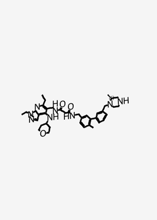 CCc1nc2c(cnn2CC)c(NC2CCOCC2)c1CNC(=O)CC(=O)NCc1ccc(C)c(-c2cccc(CN3CCNC[C@@H]3C)c2)c1